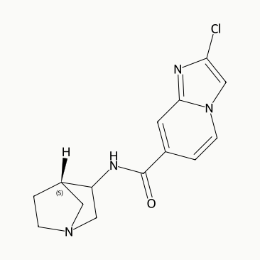 O=C(NC1CN2CC[C@H]1C2)c1ccn2cc(Cl)nc2c1